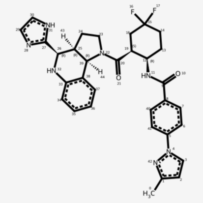 Cc1ccn(-c2ccc(C(=O)N[C@@H]3CCC(F)(F)C[C@@H]3C(=O)N3CC[C@@H]4[C@H](c5ncc[nH]5)Nc5ccccc5[C@@H]43)cc2)n1